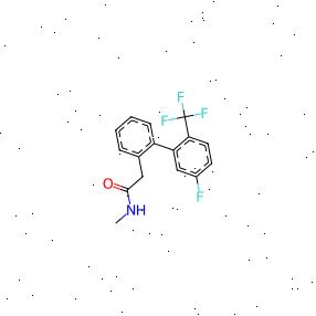 CNC(=O)Cc1ccccc1-c1cc(F)ccc1C(F)(F)F